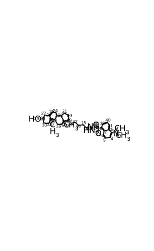 CN(C)c1cccc2c(S(=O)(=O)NNCCCCC[C@H]3CCC4C5CC=C6C[C@@H](O)CC[C@]6(C)C5CC[C@@]43C)cccc12